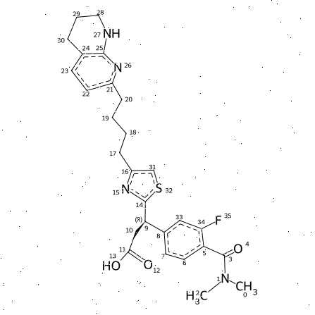 CN(C)C(=O)c1ccc([C@@H](CC(=O)O)c2nc(CCCCc3ccc4c(n3)NCCC4)cs2)cc1F